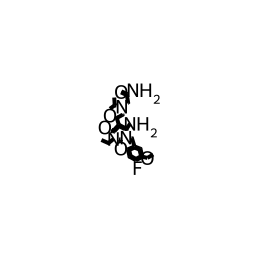 CCn1c(=O)c(C(=O)CN(CC(N)=O)C(C)C)c(N)n(Cc2ccc(F)c(OC)c2)c1=O